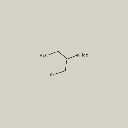 CCCCCCC(COC(C)=O)CC(C)=O